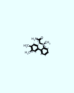 Cc1ccc(-c2ccccc2N(C)CC(N)=O)cc1C